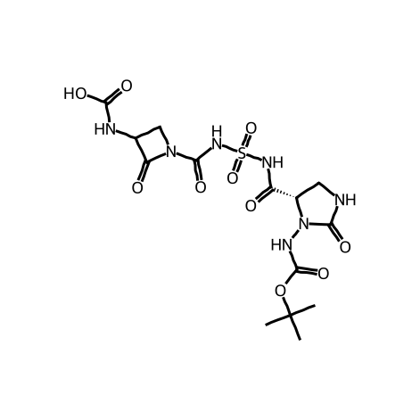 CC(C)(C)OC(=O)NN1C(=O)NC[C@H]1C(=O)NS(=O)(=O)NC(=O)N1CC(NC(=O)O)C1=O